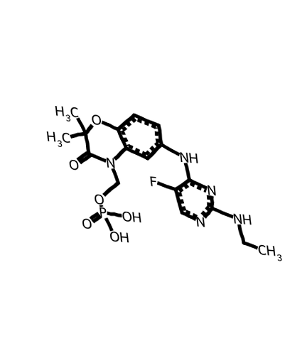 CCNc1ncc(F)c(Nc2ccc3c(c2)N(COP(=O)(O)O)C(=O)C(C)(C)O3)n1